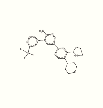 Nc1ncc(-c2ccc(C3CCOCC3)c([C@@H]3CCCN3)c2)cc1-c1ccnc(C(F)(F)F)c1